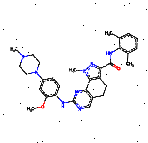 COc1cc(N2CCN(C)CC2)ccc1Nc1ncc2c(n1)-c1c(c(C(=O)Nc3c(C)cccc3C)nn1C)CC2